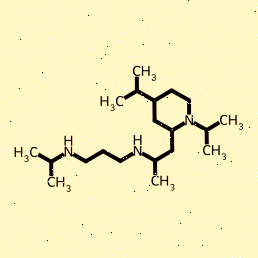 CC(C)NCCCNC(C)CC1CC(C(C)C)CCN1C(C)C